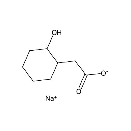 O=C([O-])CC1CCCCC1O.[Na+]